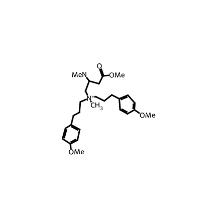 CNC(CC(=O)OC)C[N+](C)(CCCc1ccc(OC)cc1)CCCc1ccc(OC)cc1